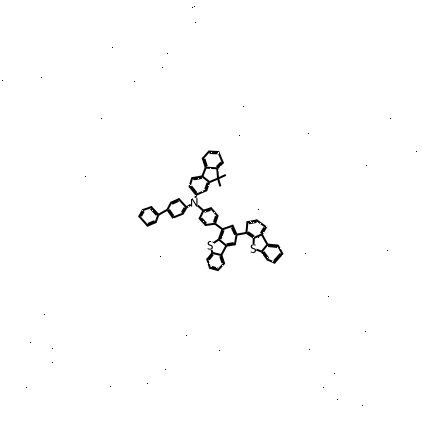 CC1(C)c2ccccc2-c2ccc(N(c3ccc(-c4ccccc4)cc3)c3ccc(-c4cc(-c5cccc6c5sc5ccccc56)cc5c4sc4ccccc45)cc3)cc21